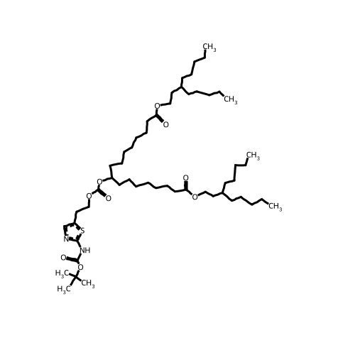 CCCCCC(CCCCC)CCOC(=O)CCCCCCCC(CCCCCCCC(=O)OCCC(CCCCC)CCCCC)OC(=O)OCCc1cnc(NC(=O)OC(C)(C)C)s1